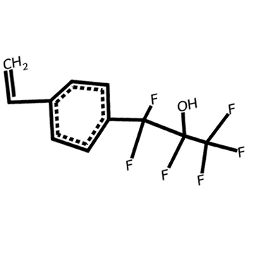 C=Cc1ccc(C(F)(F)C(O)(F)C(F)(F)F)cc1